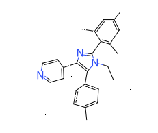 CCn1c(-c2c(C)cc(C)cc2C)nc(-c2ccncc2)c1-c1ccc(C)cc1